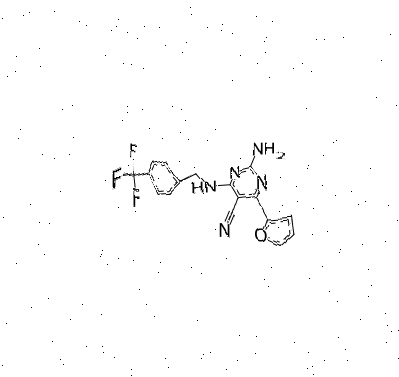 N#Cc1c(NCc2ccc(C(F)(F)F)cc2)nc(N)nc1-c1ccco1